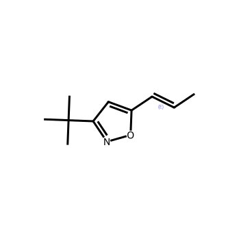 C/C=C/c1cc(C(C)(C)C)no1